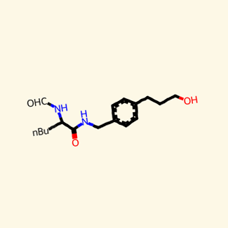 CCCCC(NC=O)C(=O)NCc1ccc(CCCO)cc1